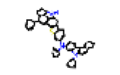 c1ccc(-c2cc3c4sc5cc(N(c6ccccc6)c6ccc7c8c9ccccc9ccc8n(-c8ccccc8)c7c6)ccc5c4cc4[nH]c5cccc2c5c43)cc1